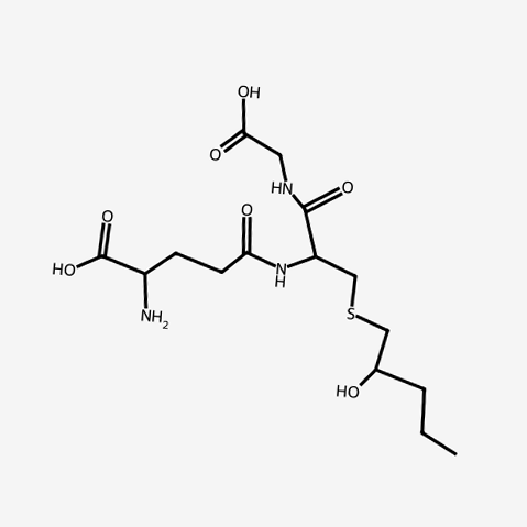 CCCC(O)CSCC(NC(=O)CCC(N)C(=O)O)C(=O)NCC(=O)O